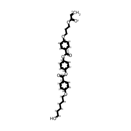 C=CC(=O)OCCCOc1ccc(C(=O)Oc2ccc(OC(=O)c3ccc(OCCCCCCO)cc3)cc2)cc1